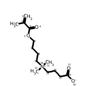 C=C(C)C(=O)OCCCC[N+](C)(C)CCCC(=O)[O-]